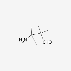 CC(C)(N)C(C)(C)C=O